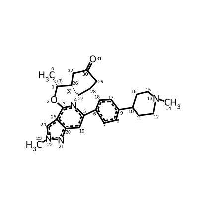 C[C@@H](Oc1nc(-c2ccc(C3CCN(C)CC3)cc2)cc2nn(C)cc12)[C@H]1CCCC(=O)C1